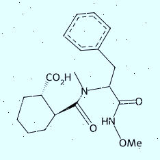 CONC(=O)C(Cc1ccccc1)N(C)C(=O)[C@H]1CCCC[C@@H]1C(=O)O